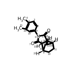 Cc1ccc(N2C(=O)[C@@H]3[C@H]4CC[C@H](C(=O)C4)[C@@H]3C2=O)cc1C